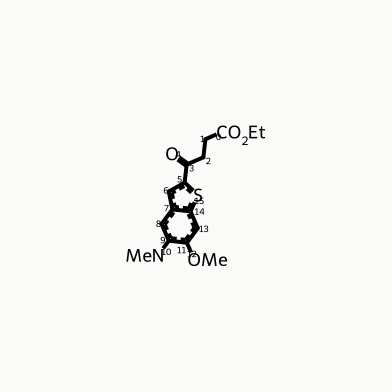 CCOC(=O)CCC(=O)c1cc2cc(NC)c(OC)cc2s1